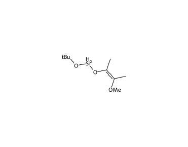 COC(C)=C(C)O[SiH2]OC(C)(C)C